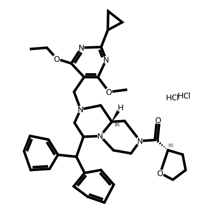 CCOc1nc(C2CC2)nc(OC)c1CN1CC(C(c2ccccc2)c2ccccc2)N2CCN(C(=O)[C@@H]3CCCO3)C[C@H]2C1.Cl.Cl